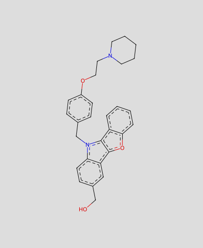 OCc1ccc2c(c1)c1oc3ccccc3c1n2Cc1ccc(OCCN2CCCCC2)cc1